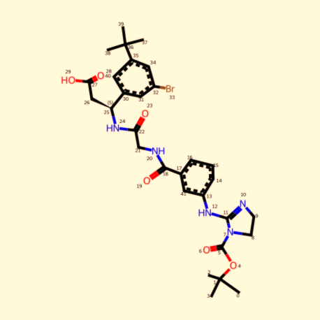 CC(C)(C)OC(=O)N1CCN=C1Nc1cccc(C(=O)NCC(=O)N[C@@H](CC(=O)O)c2cc(Br)cc(C(C)(C)C)c2)c1